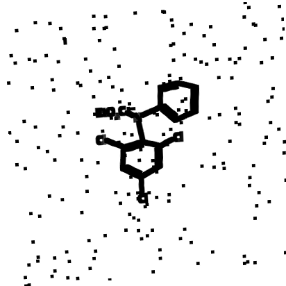 [CH2]COC(=O)N(c1ccccc1)c1c(Cl)cc(Cl)cc1Cl